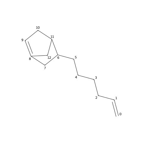 C=CCCCCC1CC2=CCC1C2